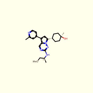 COC[C@H](C)Nc1ncc2c(-c3ccnc(C)c3)cc([C@H]3CC[C@](C)(O)CC3)n2n1